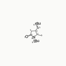 CC1C(SC(C)(C)C)CC(=O)N1C(C)(C)C